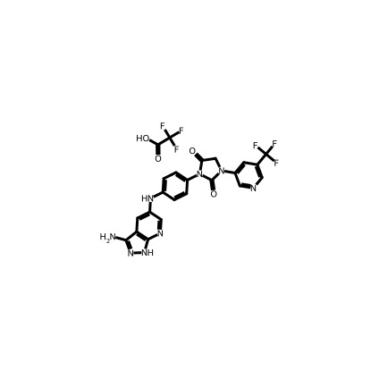 Nc1n[nH]c2ncc(Nc3ccc(N4C(=O)CN(c5cncc(C(F)(F)F)c5)C4=O)cc3)cc12.O=C(O)C(F)(F)F